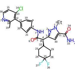 CCn1nc([C@H](C(=O)Nc2ccc(-c3c(Cl)ccnc3C)cc2)C2CCC(F)(F)CC2)cc1C(N)=O